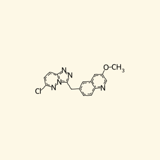 COc1cnc2ccc(Cc3nnc4ccc(Cl)nn34)cc2c1